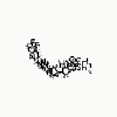 CC(C)S(=O)(=O)Nc1cccc(C2CCN(Cc3cn(Cc4ccc(C(F)(F)F)cn4)nn3)CC2)c1